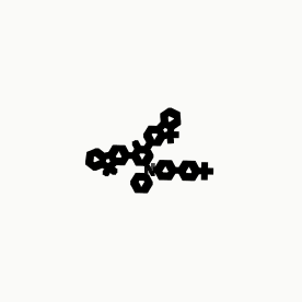 Cc1c(-c2ccc3c(c2)C(C)(C)c2ccccc2-3)cc(N(c2ccccc2)c2ccc(-c3ccc(C(C)(C)C)cc3)cc2)cc1-c1ccc2c(c1)C(C)(C)c1ccccc1-2